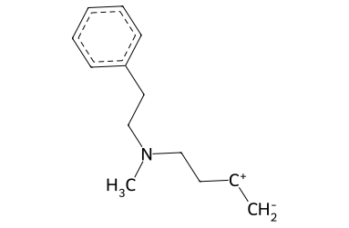 [CH2-][CH+]CCN(C)CCc1ccccc1